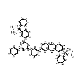 CC1(C)c2ccccc2-c2ccc(-c3nc(-c4ccccc4)nc(-c4cccc(-c5ccc6c(c5)Oc5c(ccc7c5-c5ccccc5C7(C)C)O6)c4)n3)cc21